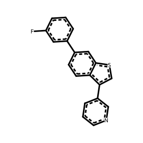 Fc1cccc(-c2ccc3c(-c4cccnc4)csc3c2)c1